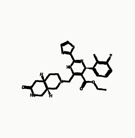 CCOC(=O)C1=C(CN2CC[C@H]3CC(=O)NC[C@@H]3C2)NC(c2nccs2)=N[C@H]1c1cccc(F)c1C